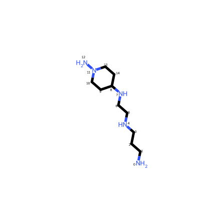 NCCCNCCNC1CCN(N)CC1